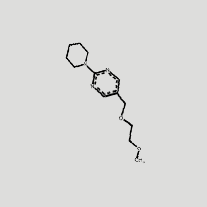 COCCOCc1cnc(N2CCCCC2)nc1